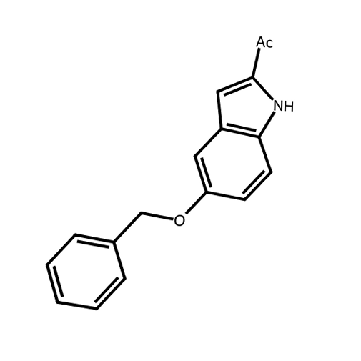 CC(=O)c1cc2cc(OCc3ccccc3)ccc2[nH]1